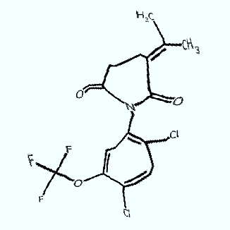 CC(C)=C1CC(=O)N(c2cc(OC(F)(F)F)c(Cl)cc2Cl)C1=O